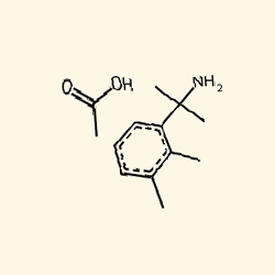 CC(=O)O.Cc1cccc(C(C)(C)N)c1C